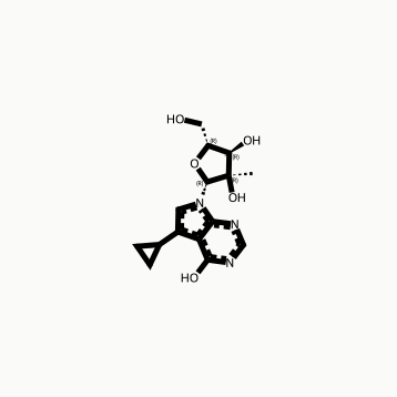 C[C@@]1(O)[C@H](O)[C@@H](CO)O[C@H]1n1cc(C2CC2)c2c(O)ncnc21